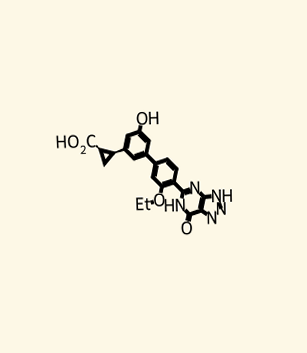 CCOc1cc(-c2cc(O)cc([C@H]3C[C@@H]3C(=O)O)c2)ccc1-c1nc2[nH]nnc2c(=O)[nH]1